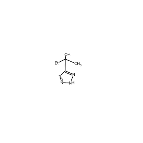 CCC(C)(O)c1nn[nH]n1